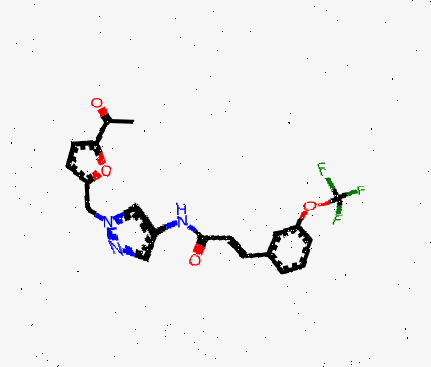 CC(=O)c1ccc(Cn2cc(NC(=O)C=Cc3cccc(OC(F)(F)F)c3)cn2)o1